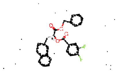 O=C(O[C@H](Cc1ccc2ccccc2c1)C(=O)OCc1ccccc1)c1ccc(F)c(F)c1